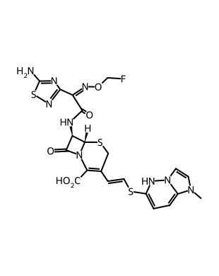 CN1C=CN2NC(S/C=C/C3=C(C(=O)O)N4C(=O)[C@@H](NC(=O)/C(=N\OCF)c5nsc(N)n5)[C@@H]4SC3)=CC=C12